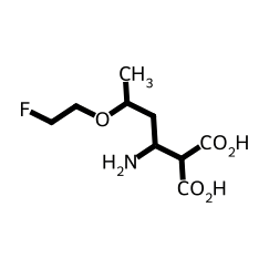 CC(CC(N)C(C(=O)O)C(=O)O)OCCF